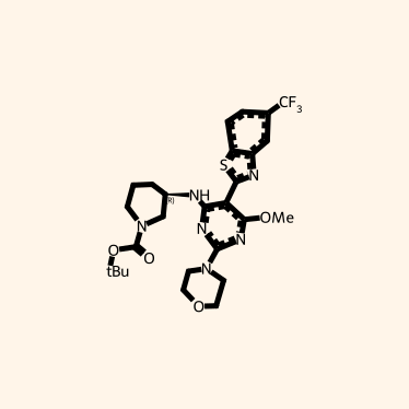 COc1nc(N2CCOCC2)nc(N[C@@H]2CCCN(C(=O)OC(C)(C)C)C2)c1-c1nc2cc(C(F)(F)F)ccc2s1